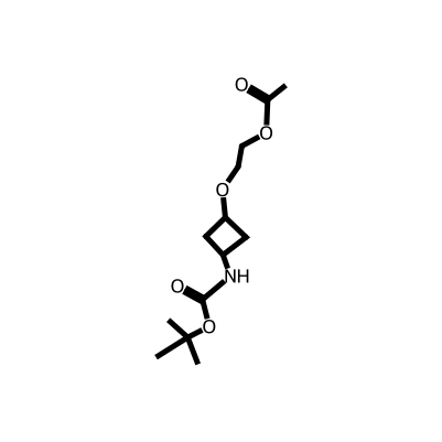 CC(=O)OCCOC1CC(NC(=O)OC(C)(C)C)C1